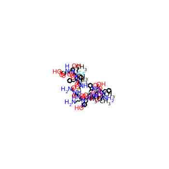 CCCC[C@@H](C(=O)N1C[C@@H](O)C[C@@H]1C(=O)N[C@H](C=O)CC(=O)O)N(C)C(=O)[C@H](Cc1ccccc1)N(C)C(=O)[C@H](Cc1ccc(F)c(F)c1)NC(=O)CSC[C@H](NC(=O)[C@H](CCCN)NC(=O)[C@H](Cc1ccc(O)cc1)NC(=O)[C@H](Cc1c[nH]c2ccccc12)NC(=O)[C@H]1COCCN1C(=O)[C@H](CCC(=O)O)NC(=O)C(Cc1ccccc1)N(C)C(=O)[C@@H](N)C(C)C)C(=O)NCC(N)=O